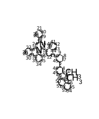 CC1(C)c2cc(-c3cccc(-c4ccc(-c5nc(-c6ccccc6)cc(-c6ccccc6-c6ccccc6)n5)c5ccccc45)c3)ccc2-c2ccc3ccccc3c21